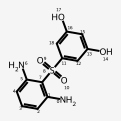 Nc1cccc(N)c1S(=O)(=O)c1cc(O)cc(O)c1